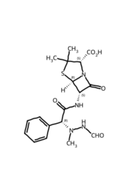 CN(NC=O)[C@@H](C(=O)N[C@H]1C(=O)N2[C@@H]1SC(C)(C)[C@@H]2C(=O)O)c1ccccc1